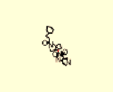 O=C(CCC1CCCCC1)N1CCC(O)(Cn2cnc3ccncc3c2=O)C2(CCCC2)C1